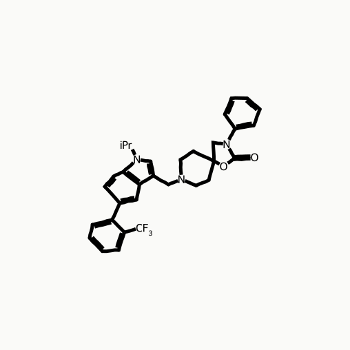 CC(C)n1cc(CN2CCC3(CC2)CN(c2ccccc2)C(=O)O3)c2cc(-c3ccccc3C(F)(F)F)ccc21